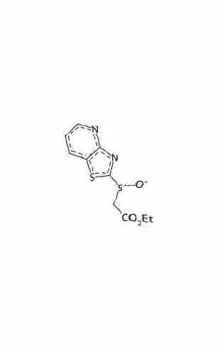 CCOC(=O)C[S+]([O-])c1nc2ncccc2s1